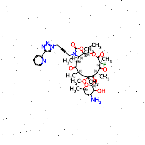 CC[C@H]1OC(=O)[C@@](C)(F)C(=O)[C@H](C)[C@@H](O[C@@H]2O[C@H](C)CC(N)C2O)[C@](C)(OC)C[C@@H](C)C(=O)[C@H](C)[C@H]2N(CC#CCn3cc(-c4ccccn4)nn3)C(=O)O[C@]12C